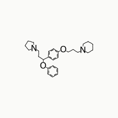 c1ccc(OC(CCN2CCCC2)c2ccc(OCCCN3CCCCC3)cc2)cc1